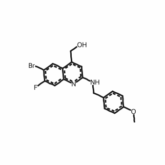 COc1ccc(CNc2cc(CO)c3cc(Br)c(F)cc3n2)cc1